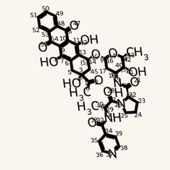 CC(=O)[C@]1(O)Cc2c(O)c3c(c(O)c2[C@@H](O[C@H]2C[C@H](NC(=O)[C@H]4CCCN4C(=O)[C@@H](C)NC(=O)c4ccncc4)[C@H](O)[C@H](C)O2)C1)C(=O)c1ccccc1C3=O